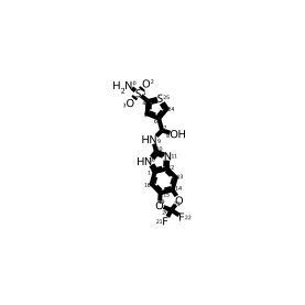 NS(=O)(=O)c1cc(C(O)Nc2nc3cc4c(cc3[nH]2)OC(F)(F)O4)cs1